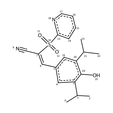 CC(C)c1cc(C=C(C#N)S(=O)(=O)c2ccccn2)cc(C(C)C)c1O